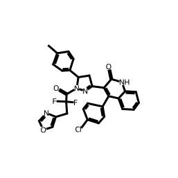 Cc1ccc(C2CC(c3c(-c4ccc(Cl)cc4)c4ccccc4[nH]c3=O)=NN2C(=O)C(F)(F)Cc2cocn2)cc1